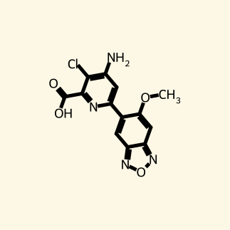 COc1cc2nonc2cc1-c1cc(N)c(Cl)c(C(=O)O)n1